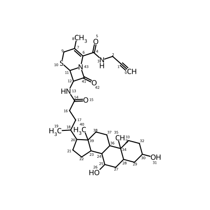 C#CCNC(=O)C1=C(C)CSC2C(NC(=O)CCC(C)C3CCC4C5C(O)CC6CC(O)CCC6(C)C5CCC34C)C(=O)N12